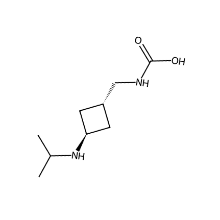 CC(C)N[C@H]1C[C@H](CNC(=O)O)C1